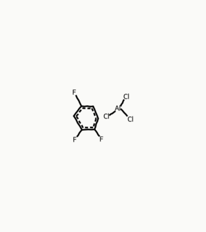 Fc1ccc(F)c(F)c1.[Cl][Al]([Cl])[Cl]